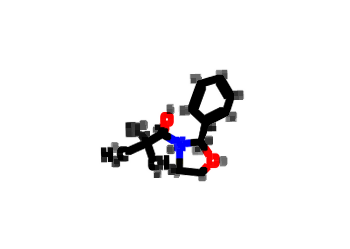 CCC(C)(C)C(=O)N1CCO[C@@H]1c1ccccc1